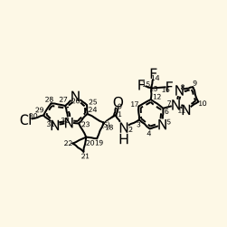 O=C(Nc1cnc(-n2nccn2)c(C(F)(F)F)c1)[C@H]1CC2(CC2)c2c1cnc1cc(Cl)nn21